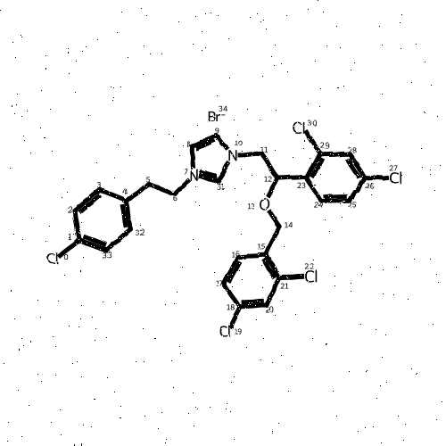 Clc1ccc(CC[n+]2ccn(CC(OCc3ccc(Cl)cc3Cl)c3ccc(Cl)cc3Cl)c2)cc1.[Br-]